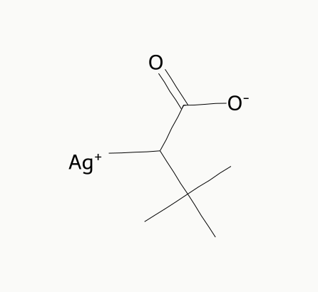 CC(C(=O)[O-])C(C)(C)C.[Ag+]